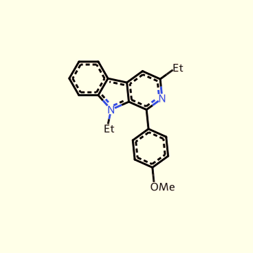 CCc1cc2c3ccccc3n(CC)c2c(-c2ccc(OC)cc2)n1